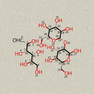 O=C[C@H](O)[C@@H](O)[C@H](O)[C@H](O)CO.OC[C@H]1O[C@@H](O[C@@H]2[C@@H](O)[C@H](O)[C@@H](CO)O[C@@H]2O)[C@H](O)[C@@H](O)[C@@H]1O